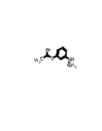 CC(Br)Sc1cccc(NN)c1